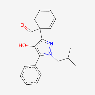 CC(C)Cn1nc(C2(C=O)C=CC=CC2)c(O)c1-c1ccccc1